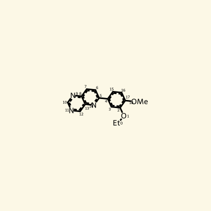 CCOc1cc(-c2ccc3ncncc3n2)ccc1OC